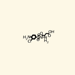 Nc1ccc(S(=O)(=O)NC(=O)[C@@H](N)CC(=O)O)cc1Cl